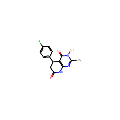 CCCc1nc2c(c(=O)n1S)C(c1ccc(F)cc1)CC(=O)N2